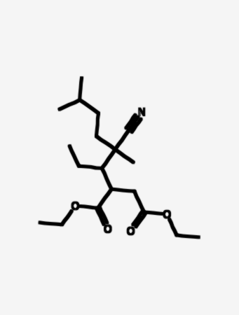 CCOC(=O)CC(C(=O)OCC)C(CC)C(C)(C#N)CCC(C)C